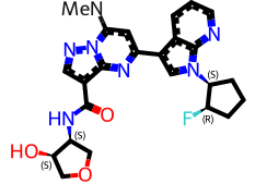 CNc1cc(-c2cn([C@H]3CCC[C@H]3F)c3ncccc23)nc2c(C(=O)N[C@H]3COC[C@H]3O)cnn12